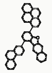 c1ccc2cc3c(cc2c1)oc1c(-c2ccc4ccc5cccc6ccc2c4c56)ccc(-c2ccc4c(ccc5ccccc54)c2)c13